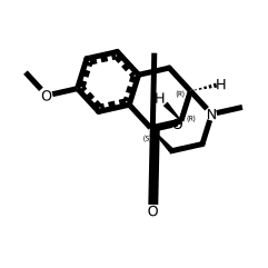 COc1ccc2c(c1)[C@]13CCN(C)[C@H](C2)[C@@H]1COC(=O)C3